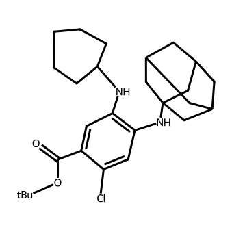 CC(C)(C)OC(=O)c1cc(NC2CCCCC2)c(NC23CC4CC(CC(C4)C2)C3)cc1Cl